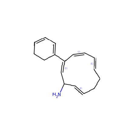 NC1/C=C/CC/C=C/C=C\C(C2=CC=CCC2)=C/1